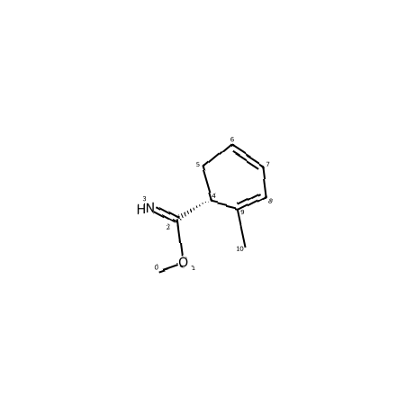 COC(=N)[C@@H]1CC=CC=C1C